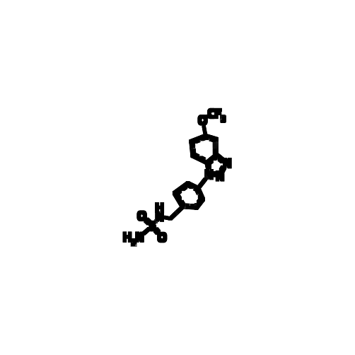 NS(=O)(=O)NCc1ccc(-n2nnc3cc(OC(F)(F)F)ccc32)cc1